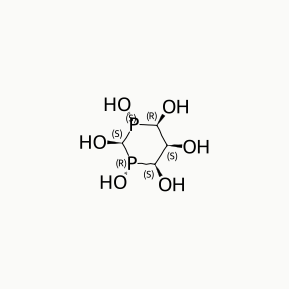 O[C@H]1[C@@H](O)[P@](O)[C@@H](O)[P@](O)[C@H]1O